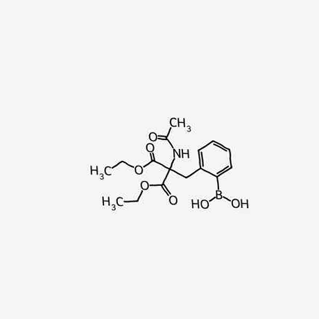 CCOC(=O)C(Cc1ccccc1B(O)O)(NC(C)=O)C(=O)OCC